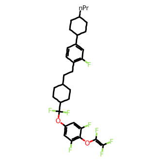 CCCC1CCC(c2ccc(CCC3CCC(C(F)(F)Oc4cc(F)c(OC(F)=C(F)F)c(F)c4)CC3)c(F)c2)CC1